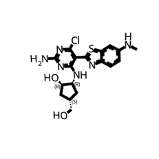 CNc1ccc2nc(-c3c(Cl)nc(N)nc3N[C@@H]3C[C@H](CO)C[C@H]3O)sc2c1